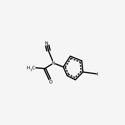 CC(=O)N(C#N)c1ccc(I)cc1